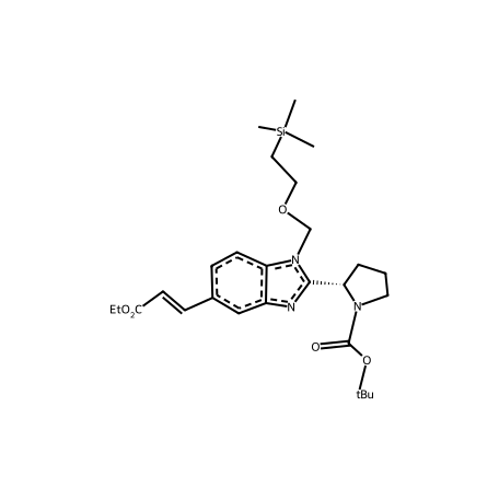 CCOC(=O)C=Cc1ccc2c(c1)nc([C@@H]1CCCN1C(=O)OC(C)(C)C)n2COCC[Si](C)(C)C